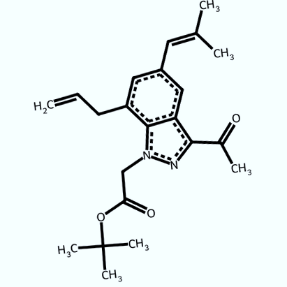 C=CCc1cc(C=C(C)C)cc2c(C(C)=O)nn(CC(=O)OC(C)(C)C)c12